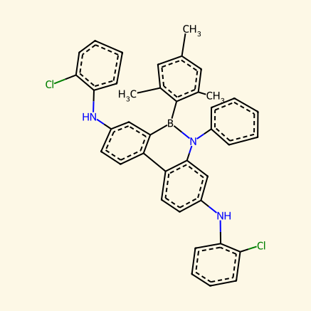 Cc1cc(C)c(B2c3cc(Nc4ccccc4Cl)ccc3-c3ccc(Nc4ccccc4Cl)cc3N2c2ccccc2)c(C)c1